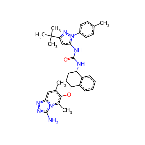 Cc1ccc(-n2nc(C(C)(C)C)cc2NC(=O)N[C@H]2CC[C@@H](Oc3c(C)cc4nnc(N)n4c3C)c3ccccc32)cc1